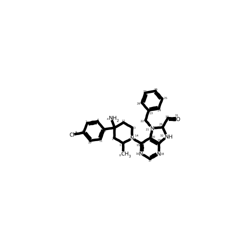 CC1CC(N)(c2ccc(Cl)cc2)CCN1c1ncnc2c1N(Cc1ccccc1)C(C=O)N2